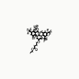 CCOC(=O)CCCOc1cnc(N(Cc2cc(C(F)(F)F)cc(C(F)(F)F)c2)C(OS(C)(=O)=O)c2cc(C(F)(F)F)cc(Br)c2F)nc1